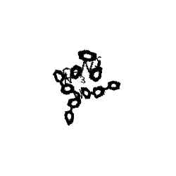 CC12C=CC=CC1c1ccc(N(c3ccc(-c4ccccc4)cc3)c3ccc(-c4ccc(-c5ccccc5)cc4)cc3)cc1N2c1ccc(N2c3ccccc3Sc3ccccc32)cc1